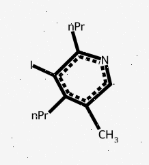 CCCc1n[c]c(C)c(CCC)c1I